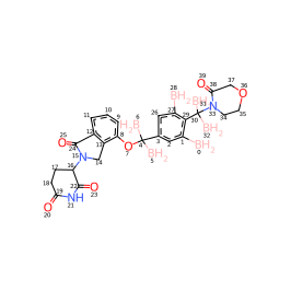 Bc1cc(C(B)(B)Oc2cccc3c2CN(C2CCC(=O)NC2=O)C3=O)cc(B)c1C(B)(B)N1CCOCC1=O